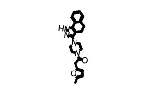 Cc1ccc(CC(=O)N2CCN(c3n[nH]c4c3CCc3ccccc3-4)CC2)o1